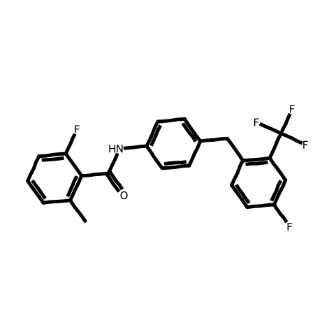 Cc1cccc(F)c1C(=O)Nc1ccc(Cc2ccc(F)cc2C(F)(F)F)cc1